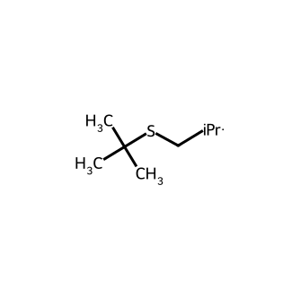 C[C](C)CSC(C)(C)C